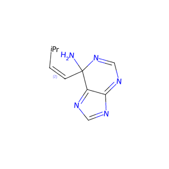 CC(C)/C=C\C1(N)N=CN=C2N=CN=C21